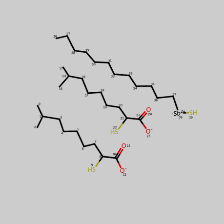 CC(C)CCCCCC(S)C(=O)[O-].CC(C)CCCCCC(S)C(=O)[O-].CCCCCCCCCCC[CH2][Sb+2][SH]